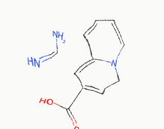 N=CN.O=C(O)C1=CCN2C=CC=CC2=C1